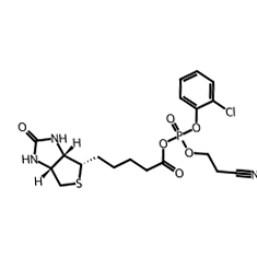 N#CCCOP(=O)(OC(=O)CCCC[C@@H]1SC[C@@H]2NC(=O)N[C@@H]21)Oc1ccccc1Cl